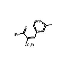 CCOC(=O)C(=Cc1ccnc(C)c1)C(=O)C(C)C